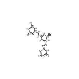 Cc1cc(C)cc(/C=C/c2cc(Br)cc(/C=C/c3cc(C)cc(C)c3)c2)c1